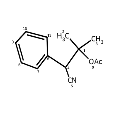 CC(=O)OC(C)(C)C(C#N)c1ccccc1